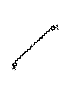 O=[N+]([O-])c1ccc(CCCCCCCCCCCCCCOCCCCCCCCCCCCCCc2ccc([N+](=O)[O-])cc2)cc1